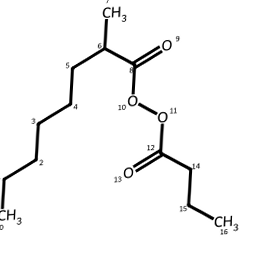 CCCCCCC(C)C(=O)OOC(=O)CCC